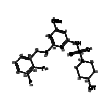 COc1cc(NS(=O)(=O)N2CCC(O)CC2)nc(SCc2cccc(F)c2F)n1